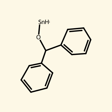 [SnH][O]C(c1ccccc1)c1ccccc1